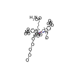 COCCOCCOCCOCCOCCC1(C)C(/C=C/C=C2/N(CCOC)c3ccc(S(=O)(=O)N=O)cc3C2(C)CCCS(=O)(=O)O)=[N+](CCCCCC(=O)ON)c2ccc(S(=O)(=O)N=O)cc21